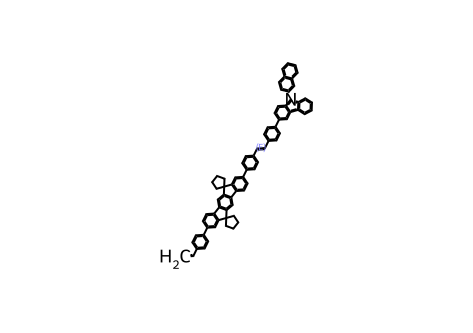 C=Cc1ccc(-c2ccc3c(c2)C2(CCCC2)c2cc4c(cc2-3)C2(CCCC2)c2cc(-c3ccc(/C=C/c5ccc(-c6ccc7c(c6)c6ccccc6n7-c6ccc7ccccc7c6)cc5)cc3)ccc2-4)cc1